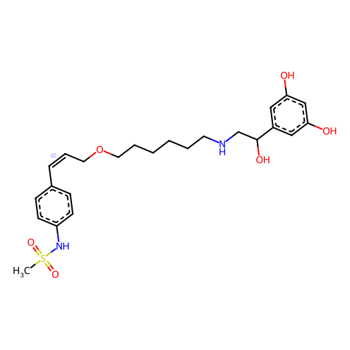 CS(=O)(=O)Nc1ccc(/C=C\COCCCCCCNCC(O)c2cc(O)cc(O)c2)cc1